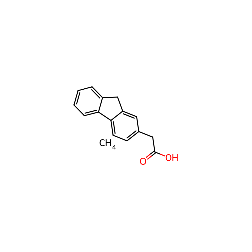 C.O=C(O)Cc1ccc2c(c1)Cc1ccccc1-2